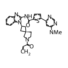 C=CC(=O)N1CC[C@]2(C1)C[C@H](n1c(NC(=O)c3ccc(-c4cc(NC)ncn4)s3)nc3ccccc31)C2